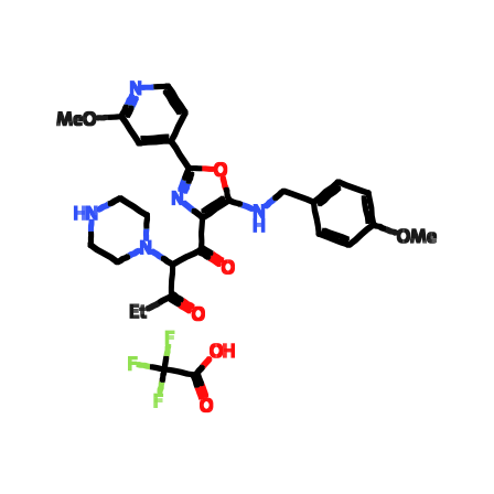 CCC(=O)C(C(=O)c1nc(-c2ccnc(OC)c2)oc1NCc1ccc(OC)cc1)N1CCNCC1.O=C(O)C(F)(F)F